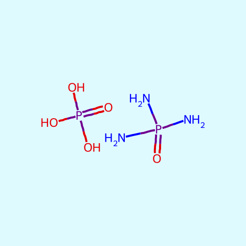 NP(N)(N)=O.O=P(O)(O)O